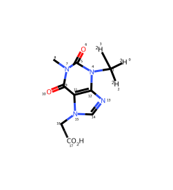 [2H]C([2H])([2H])n1c(=O)n(C)c(=O)c2c1ncn2CC(=O)O